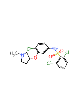 CN1CC[C@@H](Oc2cc(NS(=O)(=O)c3c(Cl)cccc3Cl)ccc2Cl)C1